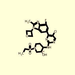 CCS(=O)(=O)N1CCC(Nc2ncc(Cl)c(-c3cc(F)c4nc(C)n(C5COC5)c4c3)n2)[C@H](O)C1